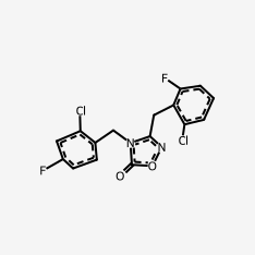 O=c1onc(Cc2c(F)cccc2Cl)n1Cc1ccc(F)cc1Cl